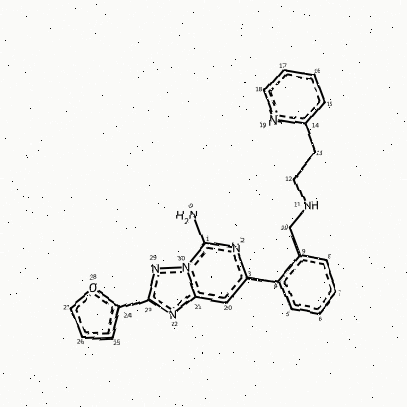 Nc1nc(-c2ccccc2CNCCc2ccccn2)cc2nc(-c3ccco3)nn12